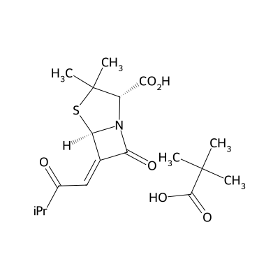 CC(C)(C)C(=O)O.CC(C)C(=O)C=C1C(=O)N2[C@@H]1SC(C)(C)[C@@H]2C(=O)O